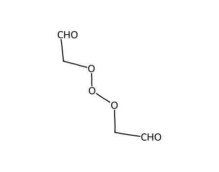 O=CCOOOCC=O